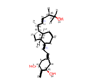 C=C1[C@H](O)CC(=C/C=C2\CCC[C@]3(C)[C@@H]([C@H](C)/C=C/[C@@H](C)C(C)(C)O)CC[C@@H]23)C[C@H]1O